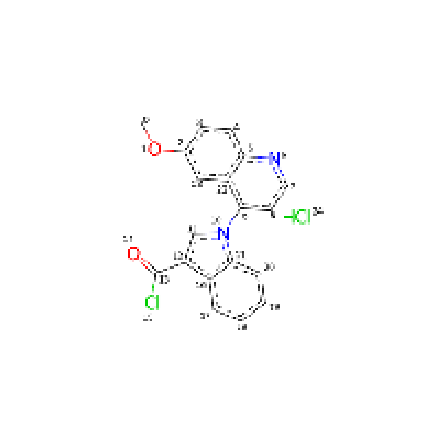 COc1ccc2nccc(-n3cc(C(=O)Cl)c4ccccc43)c2c1.Cl